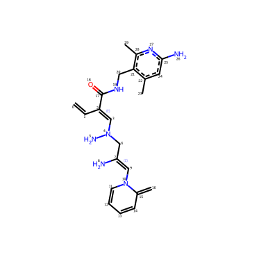 C=C/C(=C\N(N)C/C(N)=C/N1C=CC=CC1=C)C(=O)NCc1c(C)cc(N)nc1C